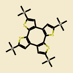 C[Si](C)(C)c1cc2c(s1)-c1sc([Si](C)(C)C)cc1-c1cc([Si](C)(C)C)sc1-c1sc([Si](C)(C)C)cc1-2